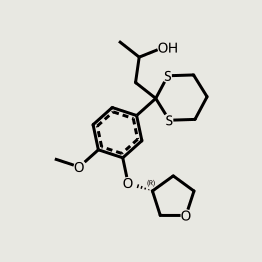 COc1ccc(C2(CC(C)O)SCCCS2)cc1O[C@@H]1CCOC1